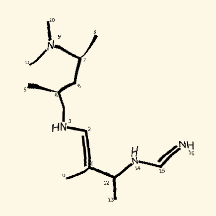 C/C(=C\N[C@@H](C)C[C@H](C)N(C)C)C(C)NC=N